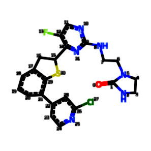 O=C1NCCN1CCNc1ncc(F)c(C2Cc3cccc(-c4ccnc(Cl)c4)c3S2)n1